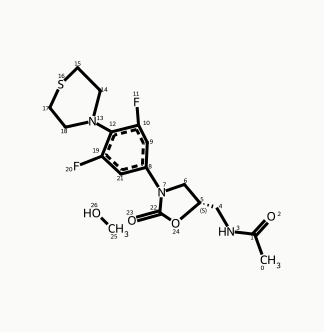 CC(=O)NC[C@H]1CN(c2cc(F)c(N3CCSCC3)c(F)c2)C(=O)O1.CO